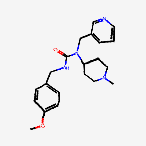 COc1ccc(CNC(=O)N(Cc2cccnc2)C2CCN(C)CC2)cc1